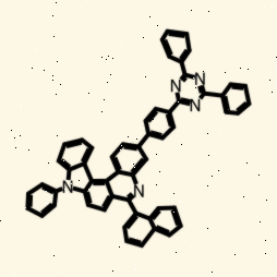 c1ccc(-c2nc(-c3ccccc3)nc(-c3ccc(-c4ccc5c(c4)nc(-c4cccc6ccccc46)c4ccc6c(c7ccccc7n6-c6ccccc6)c45)cc3)n2)cc1